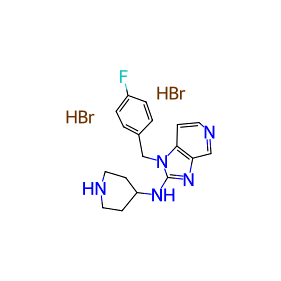 Br.Br.Fc1ccc(Cn2c(NC3CCNCC3)nc3cnccc32)cc1